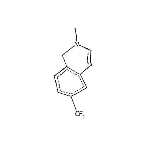 CN1C=Cc2cc(C(F)(F)F)ccc2C1